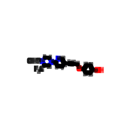 O=CN1CCN(c2ccc(C#CCOc3ccc(O)cc3)cn2)CC1C(F)(F)F